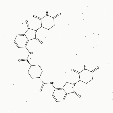 O=C1CCC(N2Cc3c(NC(=O)[C@H]4CC[C@H](C(=O)Nc5cccc6c5C(=O)N(C5CCC(=O)NC5=O)C6=O)CC4)cccc3C2=O)C(=O)N1